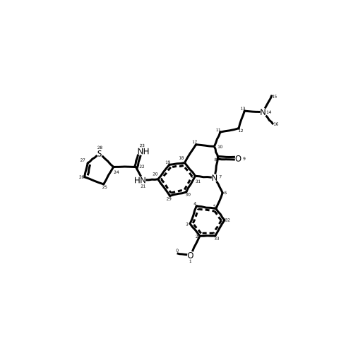 COc1ccc(CN2C(=O)C(CCCN(C)C)Cc3cc(NC(=N)C4CC=CS4)ccc32)cc1